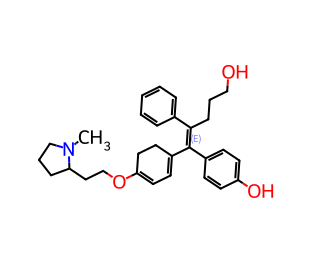 CN1CCCC1CCOC1=CC=C(/C(=C(/CCCO)c2ccccc2)c2ccc(O)cc2)CC1